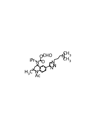 CC(=O)N1c2ccc(-c3cn(CCCN(C)C)nn3)cc2[C@H](N(C(=O)OC=O)C(C)C)C[C@@H]1C